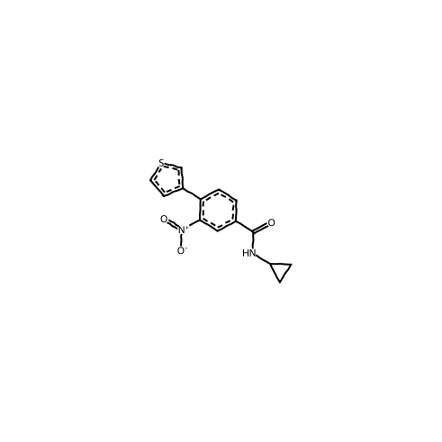 O=C(NC1CC1)c1ccc(-c2ccsc2)c([N+](=O)[O-])c1